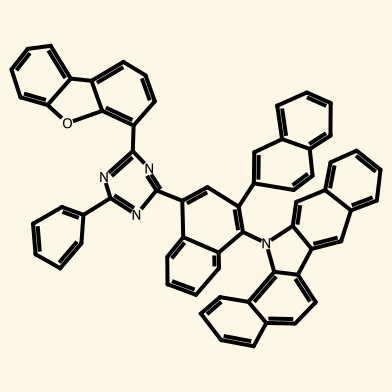 c1ccc(-c2nc(-c3cc(-c4ccc5ccccc5c4)c(-n4c5cc6ccccc6cc5c5ccc6ccccc6c54)c4ccccc34)nc(-c3cccc4c3oc3ccccc34)n2)cc1